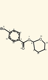 CCC(C)c1ccc(C(=O)OC2CCCCO2)cc1